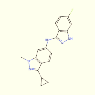 Cn1nc(C2CC2)c2ccc(Nc3n[nH]c4cc(F)ccc34)cc21